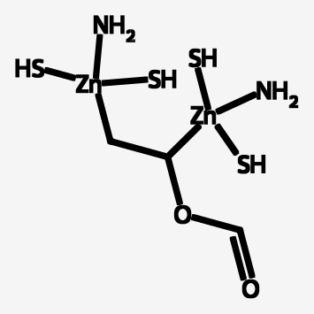 [NH2][Zn]([SH])([SH])[CH2][CH](OC=O)[Zn]([NH2])([SH])[SH]